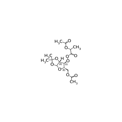 CC(=O)OC[C@H]1OC2OC(C)(C)O[C@@H]2[C@H]1OOC(=O)C(C)OC(C)=O